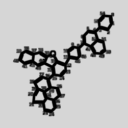 c1ccc(-c2ccc(-c3ccc(-c4ccc(-c5ccc6ccc7cccc8ccc5c6c78)c5c4oc4cc6ccccc6cc45)cc3)c3ccccc23)cc1